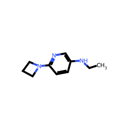 CCNc1ccc(N2CCC2)nc1